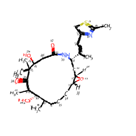 C/C(=C\c1csc(C)n1)[C@@H]1C[C@@H]2O[C@@H]2CCCC(C)[C@H](O)C(C)C(=O)C(C)(C)C(O)CC(=O)N1